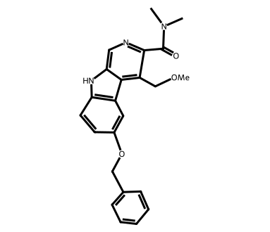 COCc1c(C(=O)N(C)C)ncc2[nH]c3ccc(OCc4ccccc4)cc3c12